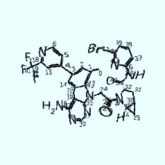 Cc1cc(-c2ccnc(C(F)(F)F)c2)cc2c3c(N)ncnc3n(CC(=O)N3[C@@H]4CC4C[C@H]3C(=O)Nc3cccc(Br)n3)c12